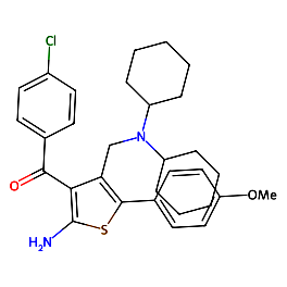 COc1ccc(-c2sc(N)c(C(=O)c3ccc(Cl)cc3)c2CN(C2CCCCC2)C2CCCCC2)cc1